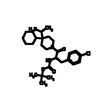 CC(N)C1(C2CCCCC2)CCN(C(=O)C(Cc2ccc(Cl)cc2)NC(=O)OC(C)(C)C)CC1